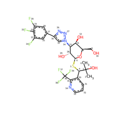 CC(C)(O)[C@H](S[C@@H]1O[C@H](CO)[C@H](O)[C@H](n2cc(-c3cc(F)c(F)c(F)c3)nn2)[C@H]1O)c1cccnc1C(F)(F)F